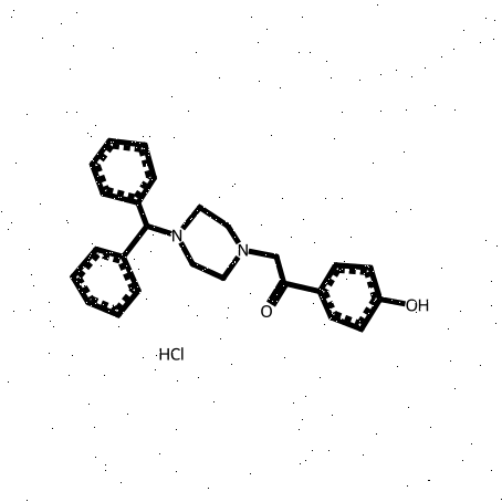 Cl.O=C(CN1CCN(C(c2ccccc2)c2ccccc2)CC1)c1ccc(O)cc1